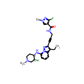 CCn1cc(C(=O)NCC#Cc2nn3c(N[C@@H]4CCN(C)C[C@@H]4F)cccc3c2CC(F)(F)F)c(F)n1